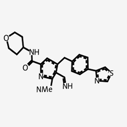 CNc1nc(C(=O)NC2CCOCC2)cc(Cc2ccc(-c3cscn3)cc2)c1C=N